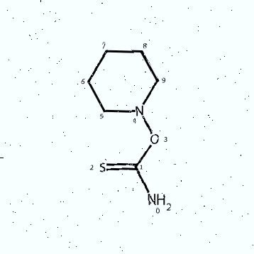 NC(=S)ON1CCCCC1